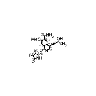 CC[C@@H]1[C@H](F)C(=O)N[C@@H]1COc1ncc(C#C[C@H](C)O)c2cc(C(N)=O)c(OC)cc12